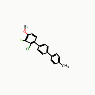 CCOc1ccc(-c2ccc(-c3ccc(C)cc3)cc2)c(Cl)c1F